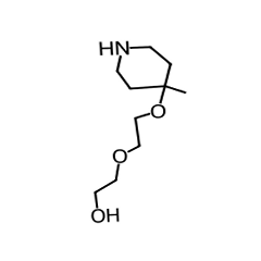 CC1(OCCOCCO)CCNCC1